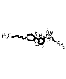 CCCCCCN1CCC(C)(c2cccc(NS(=O)(=O)CCN)c2)C(C)C1